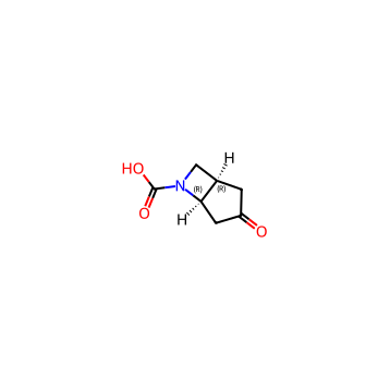 O=C1C[C@@H]2CN(C(=O)O)[C@@H]2C1